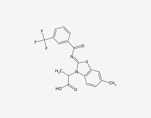 Cc1ccc2c(c1)sc(=NC(=O)c1cccc(C(F)(F)F)c1)n2C(C)C(=O)O